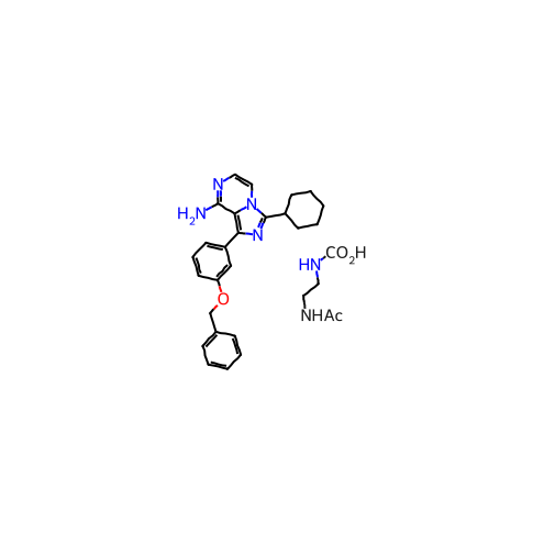 CC(=O)NCCNC(=O)O.Nc1nccn2c(C3CCCCC3)nc(-c3cccc(OCc4ccccc4)c3)c12